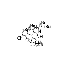 CCCCN(CCCC)c1nc2c(c(N(CCCC)CCCC)n1)C(c1cccc(Cl)c1Cl)C(OC(=O)OCC)=C(C)N2